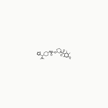 COc1cc(C)c(S(=O)(=O)N2CCCC(OCC(=O)NC3CCC(C(c4cccs4)N(C)C)CC3)C2)c(C)c1C